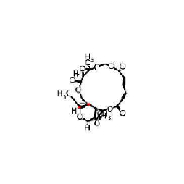 CC1=C[C@H]2O[C@@H]3C[C@H]4OC(=O)/C=C\C=C\C(=O)OCC[C@@]5(C)O[C@@H]5C(=O)OC[C@@]2(CC1)[C@]4(C)[C@]31CO1